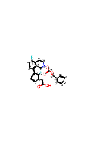 O=C(O)Cc1cccc(-c2ccc(F)c3c2CN(OC(=O)OCc2ccccc2)CC3)c1F